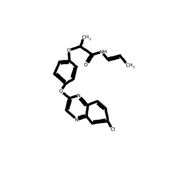 CC=CNC(=O)C(C)Oc1ccc(Oc2cnc3cc(Cl)ccc3n2)cc1